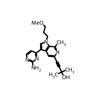 COCCCn1cc(-c2ccnc(N)n2)c2cc(C#CC(C)(C)O)nc(C)c21